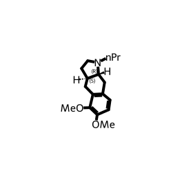 CCCN1CC[C@@H]2Cc3c(ccc(OC)c3OC)C[C@H]21